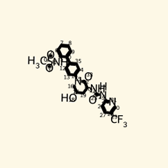 CS(=O)(=O)Nc1ccccc1-c1ccc(N2C[C@H](O)C[C@@H](NC(=O)Nc3ccc(C(F)(F)F)cn3)C2=O)cc1